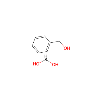 OBO.OCc1ccccc1